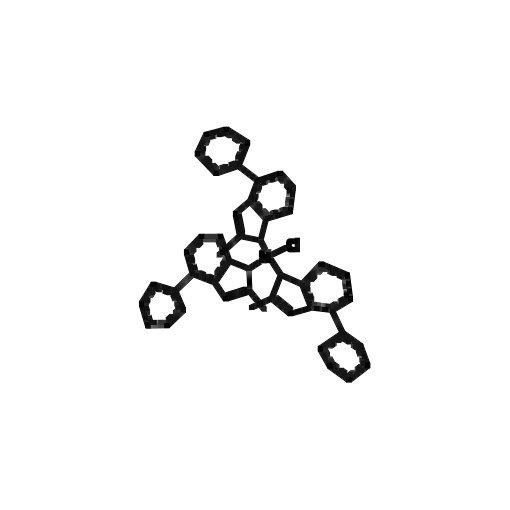 CC1=Cc2c(-c3ccccc3)cccc2C1[Si](Cl)(C1C(C)=Cc2c(-c3ccccc3)cccc21)C1C(C)=Cc2c(-c3ccccc3)cccc21